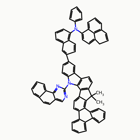 CC1(C)c2ccc3c4cc(-c5ccc6c(N(c7ccccc7)c7ccc8c9c(cccc79)C=CC8)cccc6c5)ccc4n(-c4ncc5ccc6ccccc6c5n4)c3c2-c2ccc3c4ccccc4c4ccccc4c3c21